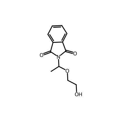 CC(OCCO)N1C(=O)c2ccccc2C1=O